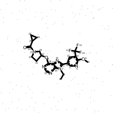 CCn1c(-c2cnc(OC)c(C(F)(F)F)c2)nc2c(OC3CCN(C(=O)C4CC4)C3)ncnc21